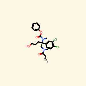 CN(C[C@](CCCO)(c1ccc(Cl)c(Cl)c1)N(C)C(=O)Oc1ccccc1)C(=O)CC(F)(F)F